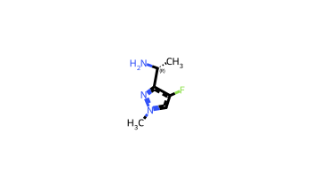 C[C@@H](N)c1nn(C)cc1F